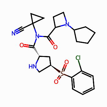 N#CC1(N(C(=O)C2CCN2C2CCCC2)C(=O)[C@@H]2C[C@@H](S(=O)(=O)c3ccccc3Cl)CN2)CC1